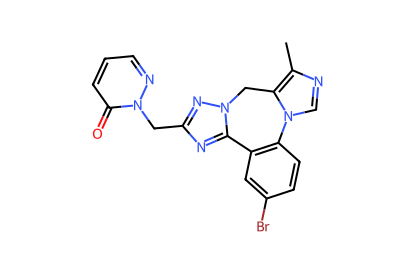 Cc1ncn2c1Cn1nc(Cn3ncccc3=O)nc1-c1cc(Br)ccc1-2